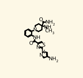 CNC1(C(N)=O)CCN(c2ccccc2NC(=O)c2csc(-n3cc(N)cn3)n2)CC1